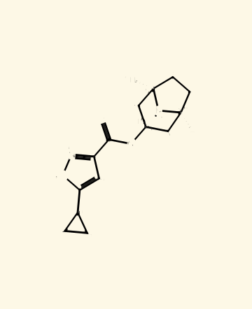 O=C(NC1C[C@H]2CC[C@@H](C1)N2C(=O)O)c1cc(C2CC2)on1